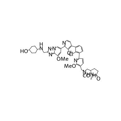 COc1nc(-c2cccc(-c3ccnc(-c4cc(OC)c5nc(CNC6CCC(O)CC6)nn5c4)c3Cl)c2Cl)ccc1CN(CC1CCC(=O)N1)C(=O)O